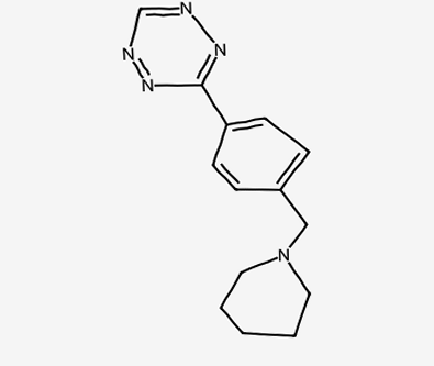 c1nnc(-c2ccc(CN3CCCCC3)cc2)nn1